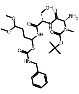 COC(CCC(NC(=O)[C@H](CO)NC(=O)[C@H](N)N(C)C(=O)OC(C)(C)C)SC(=O)NCc1ccccc1)OC